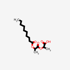 CCCCCCCCCC(=O)OC(C)C(=O)OC(C)C(=O)O